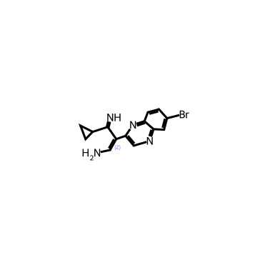 N=C(/C(=C\N)c1cnc2cc(Br)ccc2n1)C1CC1